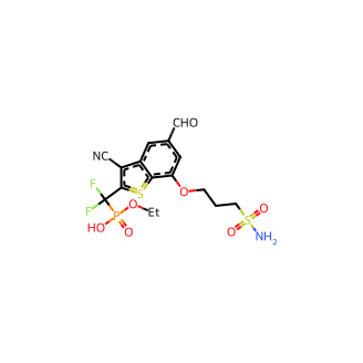 CCOP(=O)(O)C(F)(F)c1sc2c(OCCCS(N)(=O)=O)cc(C=O)cc2c1C#N